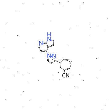 N#CC1=CCC=CC(c2ccn(-c3ccnc4[nH]ccc34)n2)=C1